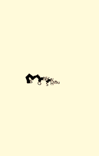 CC(C)(C)NC(=S)NC(=O)Cc1cccs1